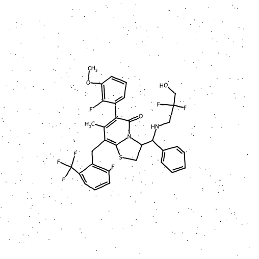 COc1cccc(-c2c(C)c(Cc3c(F)cccc3C(F)(F)F)c3n(c2=O)C(C(NCC(F)(F)CO)c2ccccc2)CS3)c1F